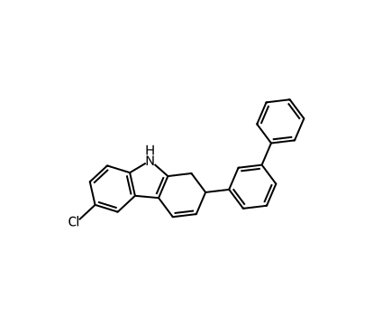 Clc1ccc2[nH]c3c(c2c1)C=CC(c1cccc(-c2ccccc2)c1)C3